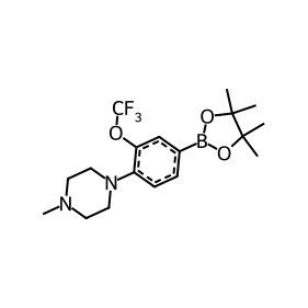 CN1CCN(c2ccc(B3OC(C)(C)C(C)(C)O3)cc2OC(F)(F)F)CC1